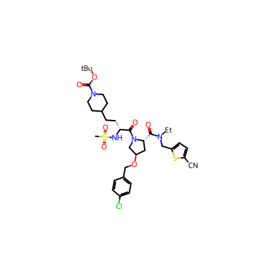 CCN(Cc1ccc(C#N)s1)C(=O)[C@@H]1C[C@@H](OCc2ccc(Cl)cc2)CN1C(=O)[C@@H](CCC1CCN(C(=O)OC(C)(C)C)CC1)NS(C)(=O)=O